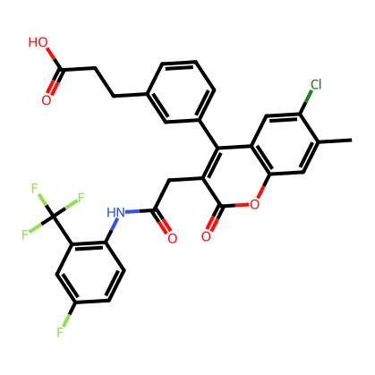 Cc1cc2oc(=O)c(CC(=O)Nc3ccc(F)cc3C(F)(F)F)c(-c3cccc(CCC(=O)O)c3)c2cc1Cl